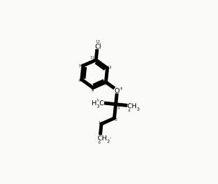 [CH2]CCC(C)(C)Oc1cccc(Cl)c1